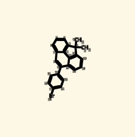 CC1(C)c2cccc3cc(-c4ccc(Br)cc4)c4cccc1c4c23